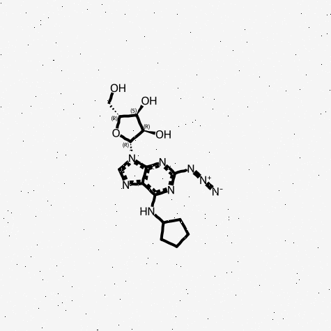 [N-]=[N+]=Nc1nc(NC2CCCC2)c2ncn([C@@H]3O[C@H](CO)[C@@H](O)[C@H]3O)c2n1